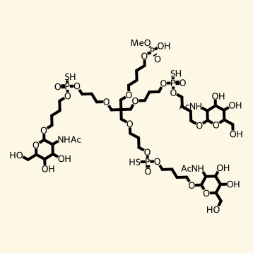 COP(=O)(O)OCCCCOCC(COCCCOP(=O)(S)OCCCCOC1OC(CO)C(O)C(O)C1NC(C)=O)(COCCCOP(=O)(S)OCCCCOC1OC(CO)C(O)C(O)C1NC(C)=O)COCCCOP(=O)(S)OCCCCOC1OC(CO)C(O)C(O)C1NC(C)=O